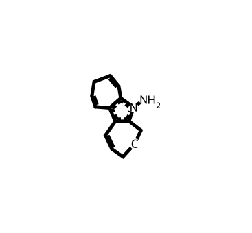 Nn1c2c(c3c1CCCC=C3)C=CCC=C2